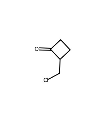 O=C1CCC1CCl